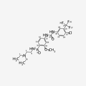 CCN(CC)CCNC(=O)c1ccc(NC(=O)Nc2ccc(Cl)c(C(F)(F)F)c2)cc1OC